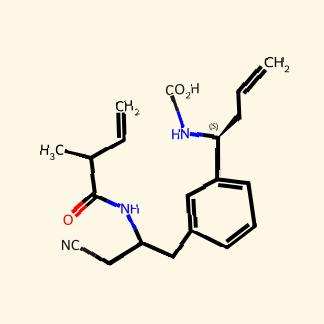 C=CC[C@H](NC(=O)O)c1cccc(CC(CC#N)NC(=O)C(C)C=C)c1